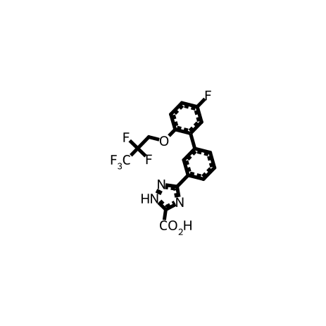 O=C(O)c1nc(-c2cccc(-c3cc(F)ccc3OCC(F)(F)C(F)(F)F)c2)n[nH]1